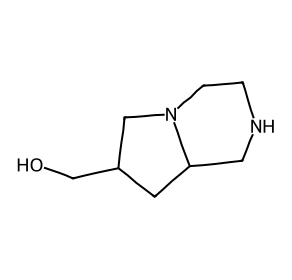 OCC1CC2CNCCN2C1